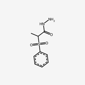 CC(C(=O)NN)S(=O)(=O)c1ccccc1